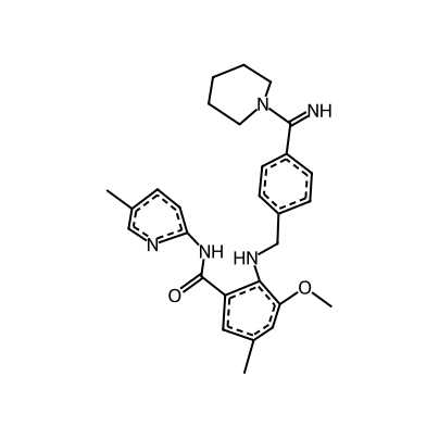 COc1cc(C)cc(C(=O)Nc2ccc(C)cn2)c1NCc1ccc(C(=N)N2CCCCC2)cc1